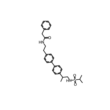 CC(CNS(=O)(=O)C(C)C)c1ccc(-c2ccc(CCNC(=O)Cc3ccccc3)cc2)cc1